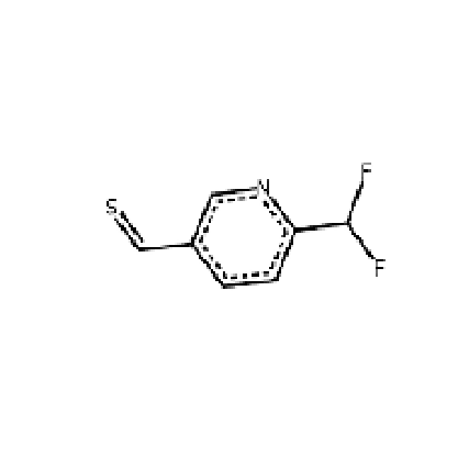 FC(F)c1ccc(C=S)cn1